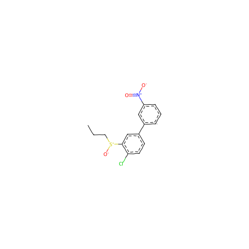 CCC[S+]([O-])c1cc(-c2[c]ccc([N+](=O)[O-])c2)ccc1Cl